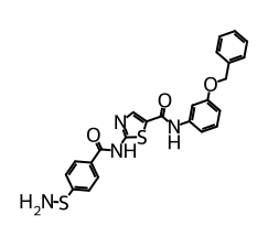 NSc1ccc(C(=O)Nc2ncc(C(=O)Nc3cccc(OCc4ccccc4)c3)s2)cc1